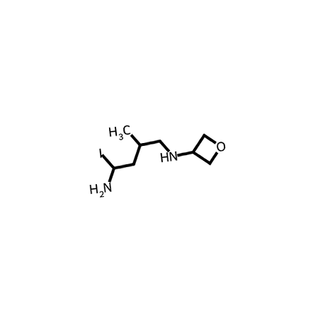 CC(CNC1COC1)CC(N)I